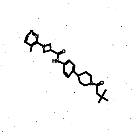 Cc1ccnnc1N1CC(C(=O)Nc2ccc(C3CCN(C(=O)CC(C)(C)C)CC3)cc2)C1